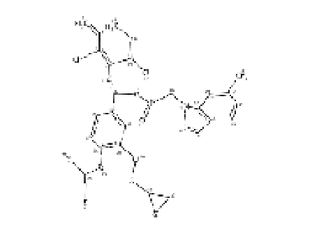 C=C/C(Cl)=C(C[C@H](OC(=O)Cn1ccc2ccc(C(F)(F)F)cc21)c1ccc(OC(F)F)c(OCC2CC2)c1)\C(Cl)=C/C